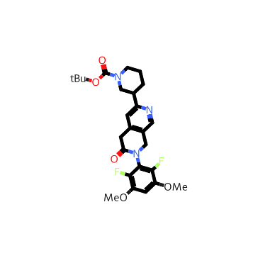 COc1cc(OC)c(F)c(N2Cc3cnc(C4CCCN(C(=O)OC(C)(C)C)C4)cc3CC2=O)c1F